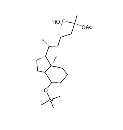 CC(=O)O[C@](C)(CCC[C@@H](C)[C@H]1CCC2C(O[Si](C)(C)C)CCC[C@@]21C)C(=O)O